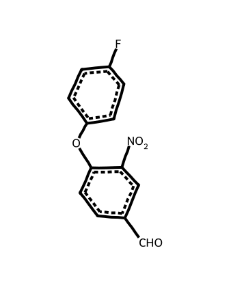 O=Cc1ccc(Oc2ccc(F)cc2)c([N+](=O)[O-])c1